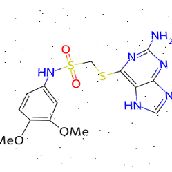 COc1ccc(NS(=O)(=O)CSc2nc(N)nc3nc[nH]c23)cc1OC